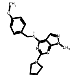 COc1ccc(CNc2nc(N3CCCC3)nc3c2cnn3C)cc1